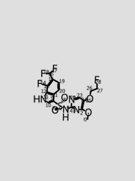 COc1nc(NS(=O)(=O)c2c[nH]c3c(F)c(C(F)F)ccc23)ncc1OCCF